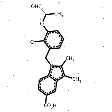 Cc1c(C)n(Cc2cccc(O[C@@H](C)C=O)c2Cl)c2ccc(C(=O)O)cc12